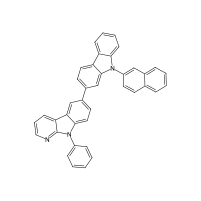 c1ccc(-n2c3ccc(-c4ccc5c6ccccc6n(-c6ccc7ccccc7c6)c5c4)cc3c3cccnc32)cc1